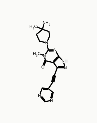 Cn1c(N2CCC(C)(N)CC2)nc2[nH]nc(C#Cc3cncnc3)c2c1=O